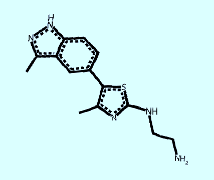 Cc1nc(NCCN)sc1-c1ccc2[nH]nc(C)c2c1